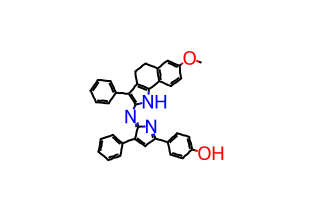 COc1ccc2c(c1)CCc1c-2[nH]c(N=C2N=C(c3ccc(O)cc3)C=C2c2ccccc2)c1-c1ccccc1